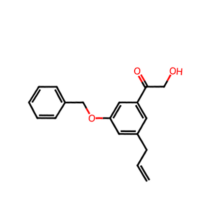 C=CCc1cc(OCc2ccccc2)cc(C(=O)CO)c1